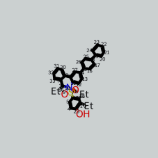 CCc1c(O)ccc(S(=O)(=O)N2c3ccc(-c4ccc(-c5ccccc5)cc4)cc3-c3ccccc3C2CC)c1CC